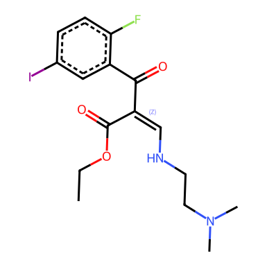 CCOC(=O)/C(=C\NCCN(C)C)C(=O)c1cc(I)ccc1F